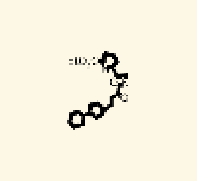 CCOC(=O)c1cccc(-c2cnc(C(=O)CCc3ccc(-c4ccccc4)cc3)o2)n1